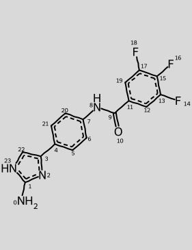 Nc1nc(-c2ccc(NC(=O)c3cc(F)c(F)c(F)c3)cc2)c[nH]1